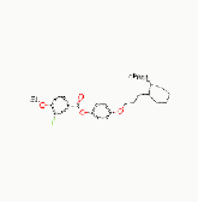 CCCCCC1CCCCC1CCCOc1ccc(OC(=O)c2ccc(OCC)c(F)c2)cc1